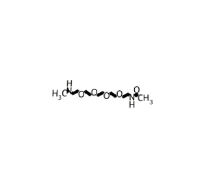 CNCCOCCOCCOCCOCCNC(C)=O